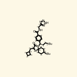 CC(C)(C)CC[C@H](c1ccc(C(=O)NCc2nn[nH]n2)cc1)N1C(=O)C(CC2CCC2)=NC12CCC(C(C)(C)C)CC2